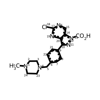 CN1CCN(Cc2ccc(-c3nn(C(=O)O)c4cnc(Cl)nc34)cc2)CC1